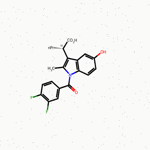 CCC[C@H](C(=O)O)c1c(C)n(C(=O)c2ccc(F)c(F)c2)c2ccc(O)cc12